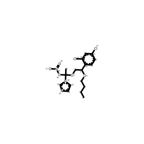 [CH2]C(OCC(OCCCC)c1ccc(Cl)cc1Cl)(O[N+](=O)[O-])n1ccnc1